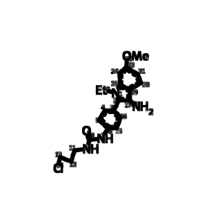 CCn1c(-c2ccc(NC(=O)NCCCCl)cc2)c(N)c2ccc(OC)cc21